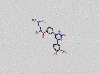 CCN(CCN(C)C)C(=O)c1cccc(-c2cc(-c3ccc(O)c(C)c3)nc(=O)[nH]2)c1